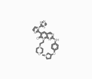 CN1CCC(Oc2ccc(Nc3ncc4cc(-c5nccn5-c5nncs5)c(=O)n(CCN5CCOCC5)c4n3)cc2)C1